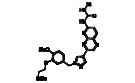 CCNC(=O)Nc1ccc2ncc(-c3cnn(Cc4ccc(OC)c(OCCOC)c4)c3)nc2n1